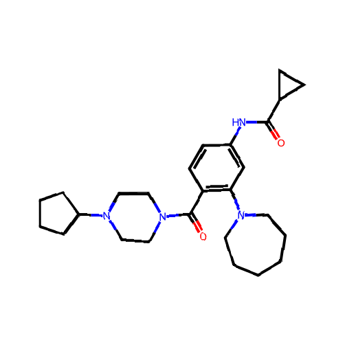 O=C(Nc1ccc(C(=O)N2CCN(C3CCCC3)CC2)c(N2CCCCCC2)c1)C1CC1